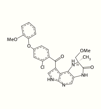 COC[C@]1(C)Nc2c(cnc3[nH]cc(C(=O)c4ccc(Oc5ccccc5OC)cc4Cl)c23)NC1=O